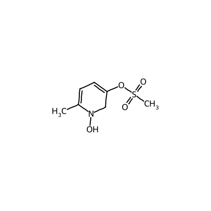 CC1=CC=C(OS(C)(=O)=O)CN1O